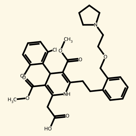 COC(=O)C1=C(CCc2ccccc2COCCN2CCCC2)NC(CC(=O)O)=C(C(=O)OC)C1c1c(Cl)cccc1Cl